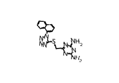 Nc1nc(N)nc(CSc2nnnn2-c2cccc3ccccc23)n1